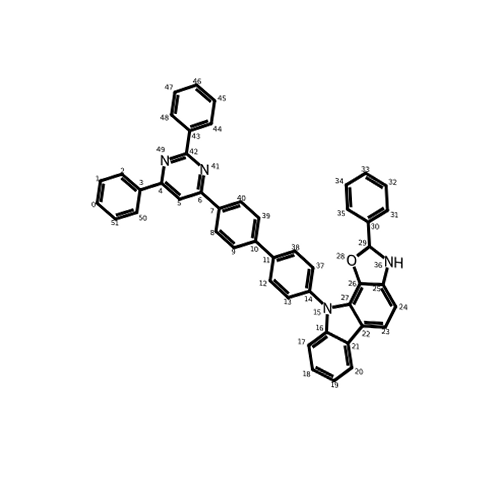 c1ccc(-c2cc(-c3ccc(-c4ccc(-n5c6ccccc6c6ccc7c(c65)OC(c5ccccc5)N7)cc4)cc3)nc(-c3ccccc3)n2)cc1